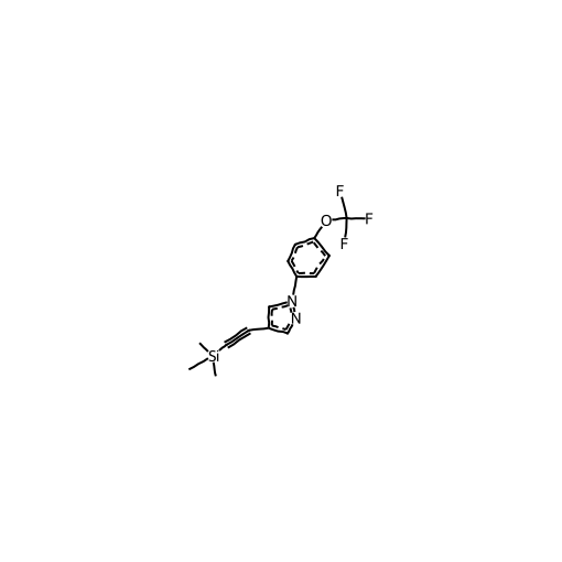 C[Si](C)(C)C#Cc1cnn(-c2ccc(OC(F)(F)F)cc2)c1